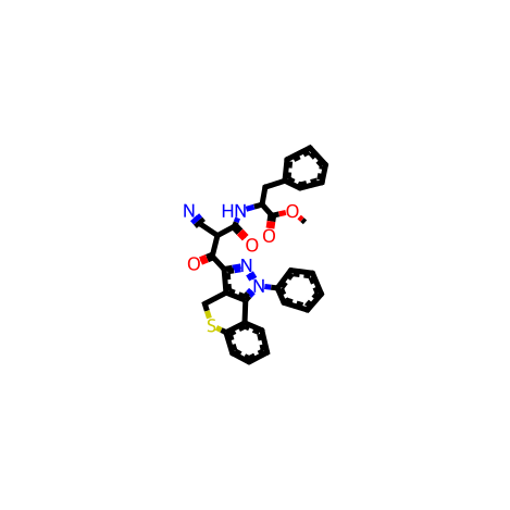 COC(=O)C(Cc1ccccc1)NC(=O)C(C#N)C(=O)c1nn(-c2ccccc2)c2c1CSc1ccccc1-2